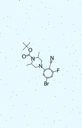 CC1CN(c2cc(Br)cc(F)c2C#N)CC(C)N1C(=O)OC(C)(C)C